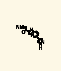 CNC(=O)c1cn2cc(-c3cn[nH]c3)ccc2n1